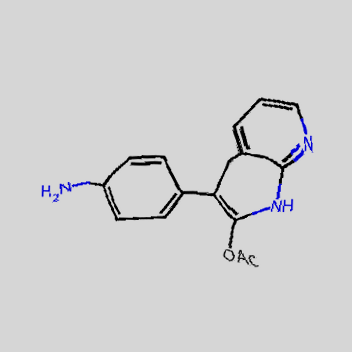 CC(=O)Oc1[nH]c2ncccc2c1-c1ccc(N)cc1